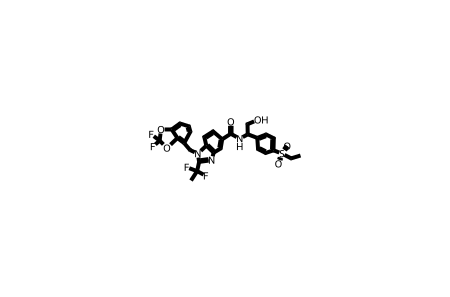 CCS(=O)(=O)c1ccc(C(CO)NC(=O)c2ccc3c(c2)nc(C(C)(F)F)n3Cc2cccc3c2OC(F)(F)O3)cc1